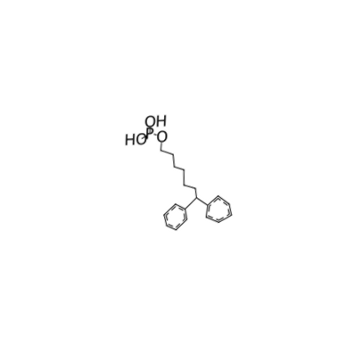 OP(O)OCCCCCCC(c1ccccc1)c1ccccc1